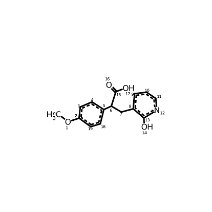 COc1ccc(C(Cc2cccnc2O)C(=O)O)cc1